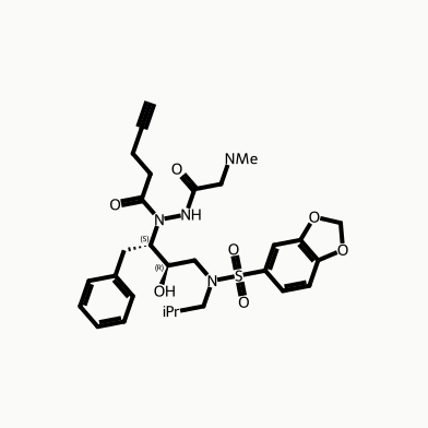 C#CCCC(=O)N(NC(=O)CNC)[C@@H](Cc1ccccc1)[C@H](O)CN(CC(C)C)S(=O)(=O)c1ccc2c(c1)OCO2